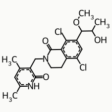 COC(c1cc(Cl)c2c(c1Cl)C(=O)N(Cc1c(C)cc(C)[nH]c1=O)CC2)C(C)O